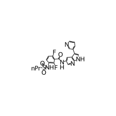 CCCS(=O)(=O)Nc1ccc(F)c(C(=O)Nc2cnc3[nH]cc(-c4cccnc4)c3c2)c1F